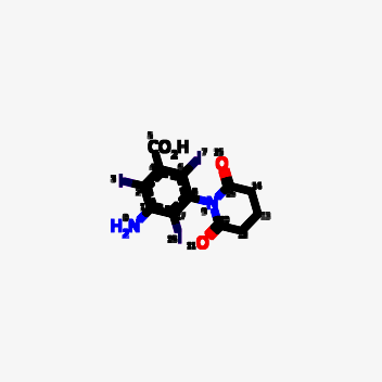 Nc1c(I)c(C(=O)O)c(I)c(N2C(=O)CCCC2=O)c1I